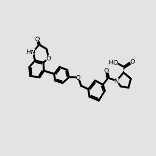 O=C1COc2c(cccc2-c2ccc(OCc3cccc(C(=O)N4CCC[C@H]4C(=O)O)c3)cc2)N1